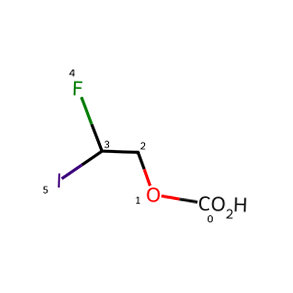 O=C(O)OCC(F)I